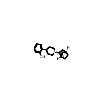 Oc1ccccc1C1CCN([C@H]2C[C@H]3CC[C@H]2C3)CC1